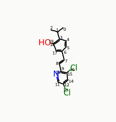 CC(C)c1ccc(/C=C/c2ncc(Cl)cc2Cl)cc1O